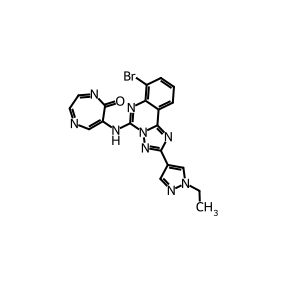 CCn1cc(-c2nc3c4cccc(Br)c4nc(Nc4cnccnc4=O)n3n2)cn1